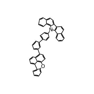 c1cc(-c2ccc(-n3c4c5ccccc5ccc4c4ccc5ccccc5c43)cc2)cc(-c2ccc3c4c(cccc24)-c2ccccc2O3)c1